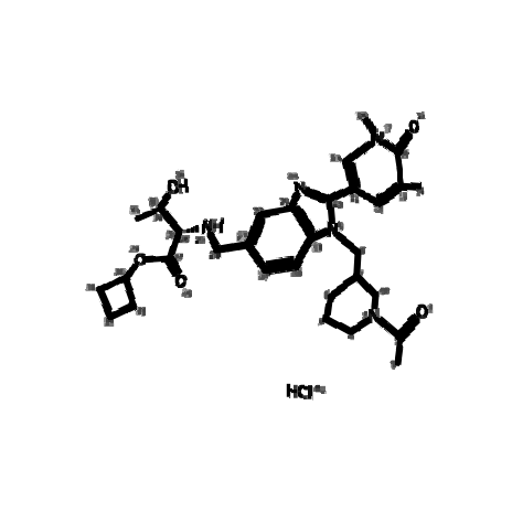 CC(=O)N1CCCC(Cn2c(-c3cc(C)c(=O)n(C)c3)nc3cc(CN[C@H](C(=O)OC4CCC4)[C@@H](C)O)ccc32)C1.Cl